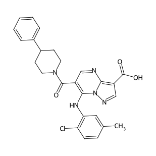 Cc1ccc(Cl)c(Nc2c(C(=O)N3CCC(c4ccccc4)CC3)cnc3c(C(=O)O)cnn23)c1